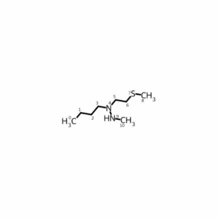 CCCCN(CCSC)NC